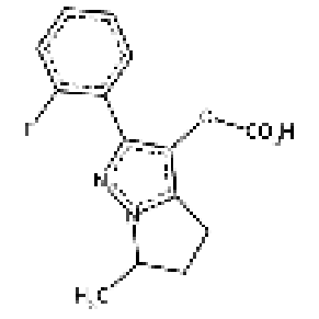 CC1CCc2c(OC(=O)O)c(-c3ccccc3F)nn21